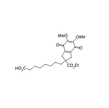 CCOC(=O)C1(CCCCCCCC(=O)O)CC2=C(C1)C(=O)C(OC)=C(OC)C2=O